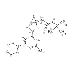 Cc1cc(N2CCOCC2)nc(N2CC3CC3(NC(=O)OC(C)(C)C)C2)c1